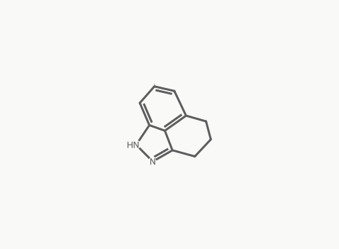 [c]1cc2c3c(n[nH]c3c1)CCC2